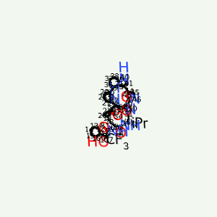 CC(C)[C@@H]1NC(=O)[C@@H](NC(=O)[C@@](O)(c2ccccc2)C(F)(F)F)Cc2ccc3c(c2)C24c5cccc(c5NC2O3)-c2cccc3[nH]cc(c23)-c2cnc(o2)-c2nc1oc24